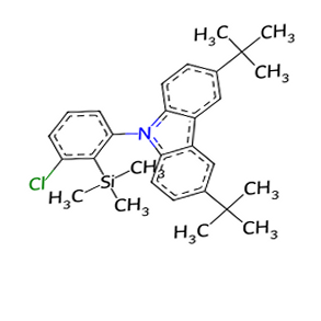 CC(C)(C)c1ccc2c(c1)c1cc(C(C)(C)C)ccc1n2-c1cccc(Cl)c1[Si](C)(C)C